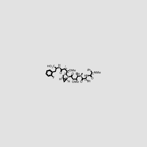 CC[C@H](C)C(C(CC(=O)N1[C@H]2C[C@H]2C[C@H]1[C@H](OC)[C@@H](C)C(=O)NC(Cc1ccccc1F)C(=O)O)OC)N(C)C(=O)[C@@H](NC(=O)[C@@H](NC)C(C)C)C(C)C